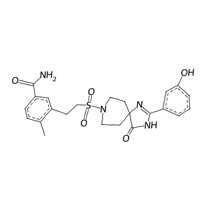 Cc1ccc(C(N)=O)cc1CCS(=O)(=O)N1CCC2(CC1)N=C(c1cccc(O)c1)NC2=O